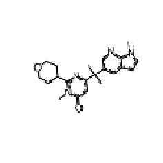 Cn1c(C2CCOCC2)nc(C(C)(C)c2cnc3[nH]ccc3c2)cc1=O